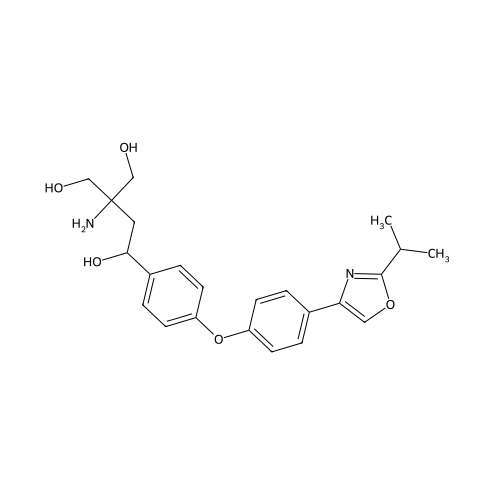 CC(C)c1nc(-c2ccc(Oc3ccc(C(O)CC(N)(CO)CO)cc3)cc2)co1